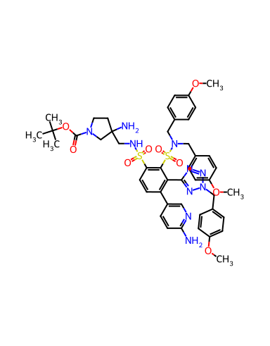 COc1ccc(CN(Cc2ccc(OC)cc2)S(=O)(=O)c2c(S(=O)(=O)NCC3(N)CCN(C(=O)OC(C)(C)C)C3)ccc(-c3ccc(N)nc3)c2-c2nnn(Cc3ccc(OC)cc3)n2)cc1